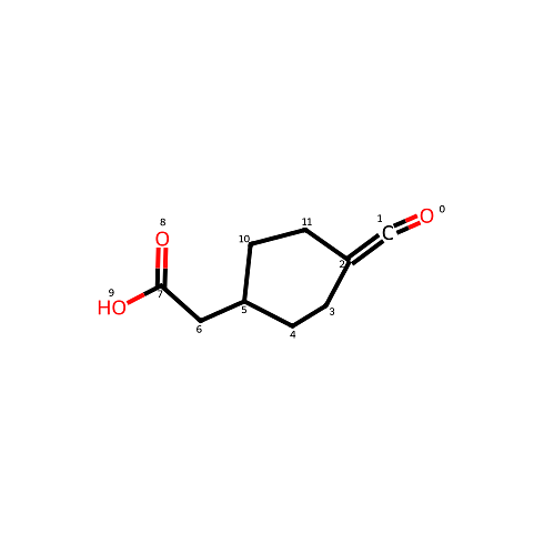 O=C=C1CCC(CC(=O)O)CC1